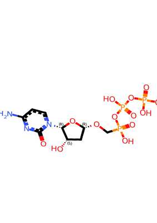 Nc1ccn([C@@H]2O[C@H](OCP(=O)(O)OP(=O)(O)OP(=O)(O)O)C[C@@H]2O)c(=O)n1